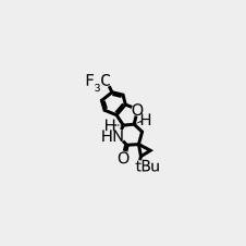 CC(C)(C)C1CC12C[C@@H]1Oc3cc(C(F)(F)F)ccc3[C@@H]1NC2=O